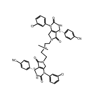 C[N+](C)(CCN1CC2=C(C1=O)[C@@H](c1ccc(C#N)cc1)NC(=O)N2c1cccc(Cl)c1)CCN1CC2=C(C1=O)[C@@H](c1ccc(C#N)cc1)NC(=O)N2c1cccc(Cl)c1